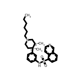 CCCCCCN1CC[C@](C)(c2cccc(NS(=O)(=O)c3cccc4cnccc34)c2)[C@@H](C)C1